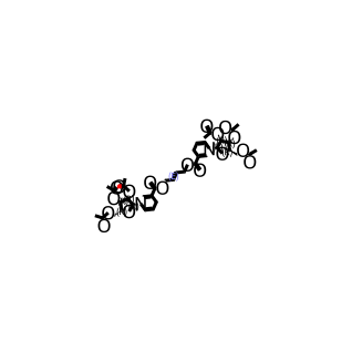 CC(=O)OC[C@H]1O[C@@H](N2C=CCC(C(=O)OC/C=C/COC(=O)C3=CN([C@@H]4O[C@H](COC(C)=O)[C@@H](OC(C)=O)[C@H]4OC(C)=O)C=CC3)=C2)[C@H](OC(C)=O)[C@@H]1OC(C)=O